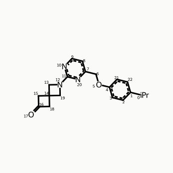 CC(C)c1ccc(OCc2ccnc(N3CC4(CC(=O)C4)C3)n2)cc1